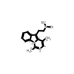 CCN(CC)CCc1c2ccccc2n2c(C)ncc(C)c12